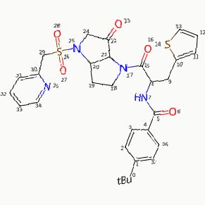 CC(C)(C)c1ccc(C(=O)NC(Cc2cccs2)C(=O)N2CCC3C2C(=O)CN3S(=O)(=O)Cc2ccccn2)cc1